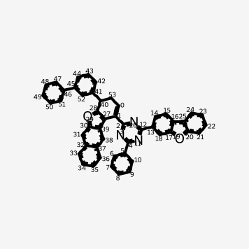 C1=C(c2nc(-c3ccccc3)nc(-c3ccc4c(c3)oc3ccccc34)n2)c2c(oc3cc4ccccc4cc23)C(c2cccc(-c3ccccc3)c2)C1